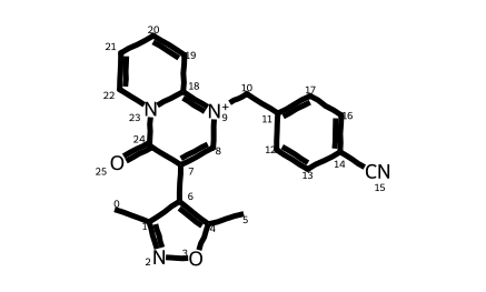 Cc1noc(C)c1-c1c[n+](Cc2ccc(C#N)cc2)c2ccccn2c1=O